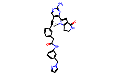 Cn1c(-c2nc(N)ncc2C#Cc2cccc(CC(=O)Nc3cccc(Cn4cccn4)c3)c2)cc2c1CCNC2=O